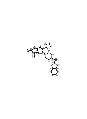 NC(=O)c1cc2c(cc1C1CCC(NC3Cc4ccccc4C3)CC1)NC(=O)[N]2